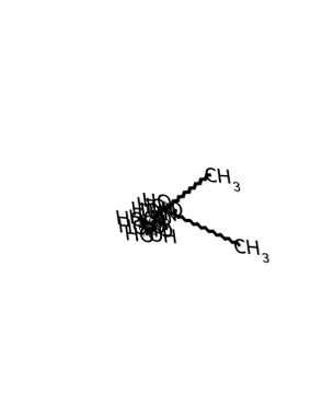 CCCCCCCCCCCCCCCCCC(=O)N[C@@H](C(O)[C@@H]1O[C@H](CO)[C@@H](O[C@@H]2O[C@H](CO)[C@H](O)[C@H](O)[C@H]2O)[C@H](O)[C@H]1O)[C@H](O)CCCCCCCCCCCCCCC